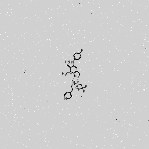 C[C@H]1C2=CNN(c3ccc(F)cc3)C2=CC2=C1[C@@H](CN(CCc1ccncc1)S(=O)(=O)CC(F)(F)F)CC2